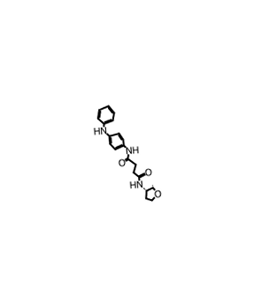 O=C(CCC(=O)N[C@@H]1[CH]OCC1)Nc1ccc(Nc2ccccc2)cc1